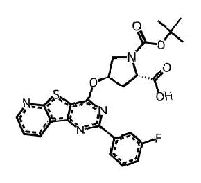 CC(C)(C)OC(=O)N1C[C@H](Oc2nc(-c3cccc(F)c3)nc3c2sc2ncccc23)C[C@H]1C(=O)O